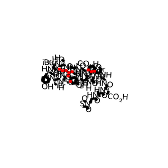 CC[C@H](C)[C@H](NC(=O)[C@H](CO)NC(=O)[C@H](Cc1ccc(O)cc1)NC(=O)[C@H](CC(=O)O)NC(=O)[C@H](CO)NC(=O)[C@@H](NC(=O)[C@H](Cc1ccccc1)NC(=O)[C@@H](NC(=O)CNC(=O)[C@H](CCC(=O)O)NC(=O)C(C)(C)NC(=O)CCN1C(=O)CSC1=O)[C@@H](C)O)[C@@H](C)O)C(=O)N[C@@H](Cc1ccc(O)cc1)C(=O)N[C@@H](CC(C)C)C(=O)N[C@@H](CC(=O)O)C(=O)N[C@H](C)CCCCN